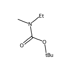 CCN(C)C(=O)OC(C)(C)C